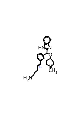 CN1CCC(OC(c2cccc(/C=C/CCCN)c2)c2nc3ccccc3[nH]2)CC1